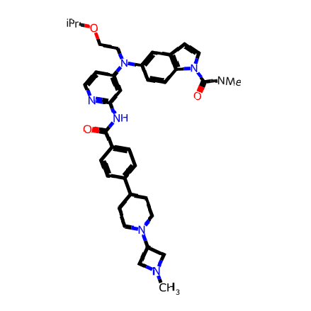 CNC(=O)n1ccc2cc(N(CCOC(C)C)c3ccnc(NC(=O)c4ccc(C5CCN(C6CN(C)C6)CC5)cc4)c3)ccc21